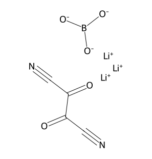 N#CC(=O)C(=O)C#N.[Li+].[Li+].[Li+].[O-]B([O-])[O-]